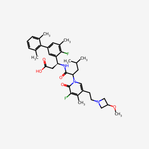 COC1CN(CCc2cn(C(CC(C)C)C(=O)N[C@@H](CC(=O)O)c3cc(-c4c(C)cccc4C)cc(C)c3F)c(=O)c(F)c2C)C1